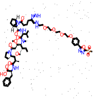 CC[C@H](C)[C@@H]([C@@H](CC(=O)N1CCC[C@H]1[C@H](OC)[C@@H](C)C(=O)N[C@@H](Cc1ccccc1)C(=O)O)OC)N(C)C(=O)[C@@H](NC(=O)[C@@H]1[C@H]2CC[C@H](C2)N1C(=O)CCC/C(=C/NCCOCCOCCOCCOc1ccc(-c2nnc(S(C)(=O)=O)o2)cc1)N=N)C(C)C